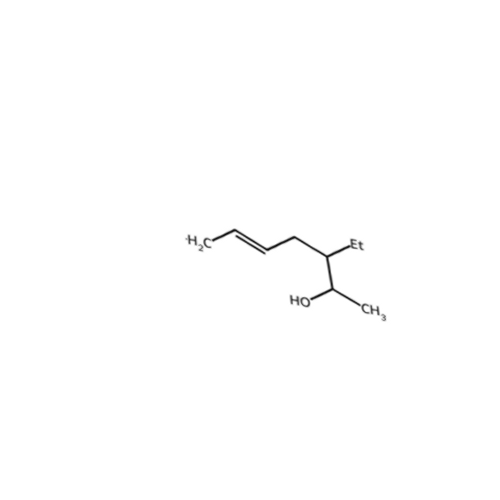 [CH2]/C=C/CC(CC)C(C)O